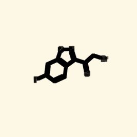 O=C(CBr)c1noc2cc(F)ccc12